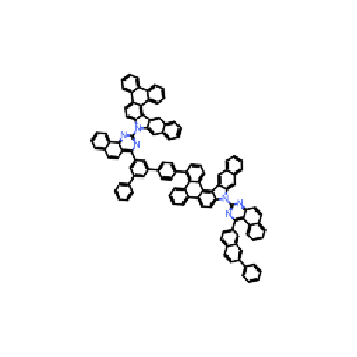 c1ccc(-c2cc(-c3ccc(-c4cccc5c4c4ccccc4c4ccc6c(c7cc8ccccc8cc7n6-c6nc(-c7ccc8ccc(-c9ccccc9)cc8c7)c7c(ccc8ccccc87)n6)c45)cc3)cc(-c3nc(-n4c5cc6ccccc6cc5c5c6c7ccccc7c7ccccc7c6ccc54)nc4c3ccc3ccccc34)c2)cc1